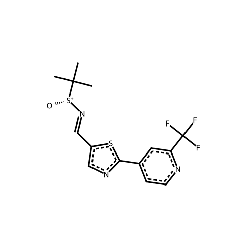 CC(C)(C)[S@@+]([O-])N=Cc1cnc(-c2ccnc(C(F)(F)F)c2)s1